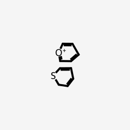 C1=CCSC=C1.c1cc[o+]cc1